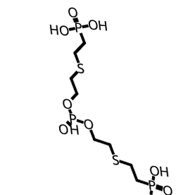 O=[PH](OCCSCCP(=O)(O)O)OCCSCCP(=O)(O)O